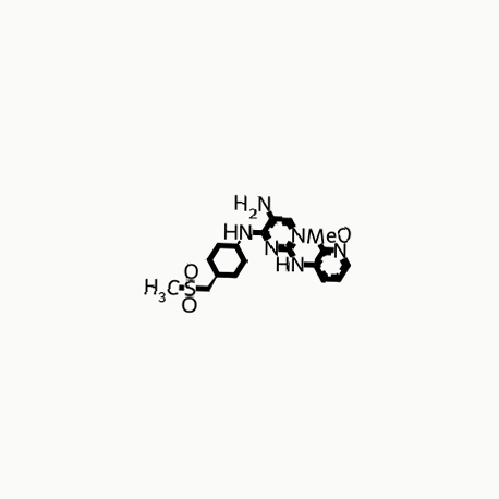 COc1ncccc1Nc1ncc(N)c(N[C@H]2CC[C@H](CS(C)(=O)=O)CC2)n1